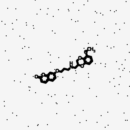 COc1cccc2c1OCC(CNCCCOc1ccc3ccc(=O)oc3c1)O2